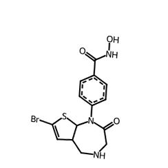 O=C(NO)c1ccc(N2C(=O)CNCC3C=C(Br)SC32)cc1